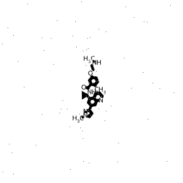 CNCCOc1ccc(C)c(C(=O)NC2(c3cc(-c4ccn(C)n4)cc4ncccc34)CC2)c1